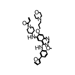 C=CC(=O)N1CCC(Nc2cc3c(Nc4cc(-c5ccco5)ccc4OC)ncnc3cc2OCCCN2CCOCC2)CC1